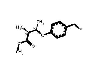 COC(=O)[C@@H](C)[C@@H](C)Oc1ccc(CF)cc1